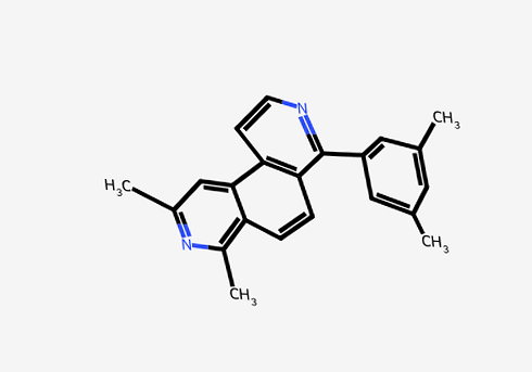 Cc1cc(C)cc(-c2nccc3c2ccc2c(C)nc(C)cc23)c1